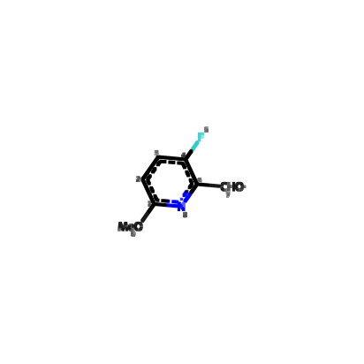 COc1ccc(F)c([C]=O)n1